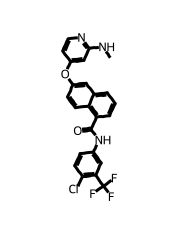 CNc1cc(Oc2ccc3c(C(=O)Nc4ccc(Cl)c(C(F)(F)F)c4)cccc3c2)ccn1